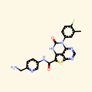 Cc1cc(N2C(=O)Nc3c(C(=O)Nc4ccc(CN)nc4)sc4ncnc2c34)ccc1F